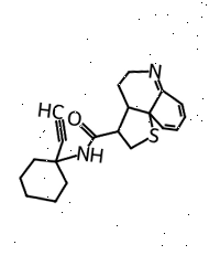 C#CC1(NC(=O)C2CSC34C=CC=CC3=NCCC24)CCCCC1